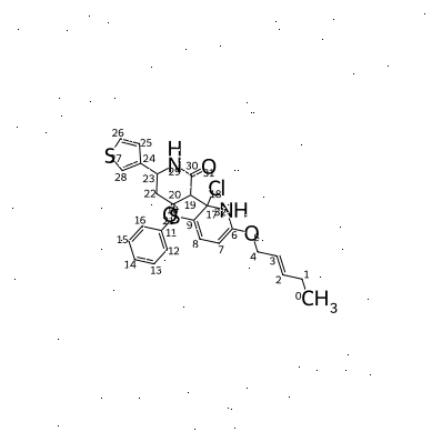 CCC=CCOC1=CC=C(Sc2ccccc2)C(Cl)(C2C(=O)CC(c3ccsc3)NC2=O)N1